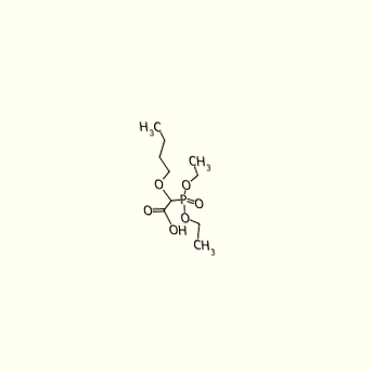 CCCCOC(C(=O)O)P(=O)(OCC)OCC